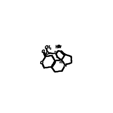 Br.CO[C@H]1CC=C2CCN3CCC4=C(CC(=O)OC4)[C@]23C1